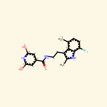 Cc1[nH]c2c(F)ccc(C)c2c1CCNC(=O)c1cc(O)nc(O)c1